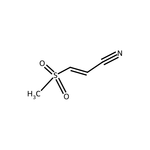 CS(=O)(=O)/C=C/C#N